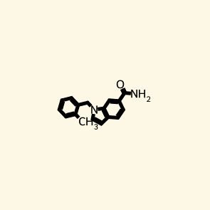 Cc1ccccc1Cn1ccc2ccc(C(N)=O)cc21